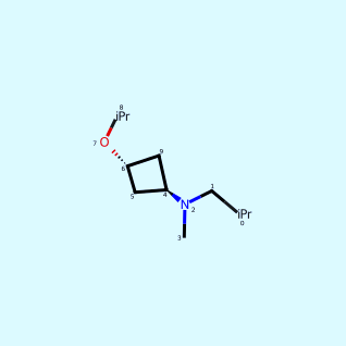 CC(C)CN(C)[C@H]1C[C@H](OC(C)C)C1